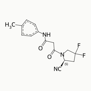 Cc1ccc(NC(=O)CC(=O)N2CC(F)(F)C[C@H]2C#N)cc1